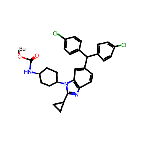 CC(C)(C)OC(=O)N[C@H]1CC[C@@H](n2c(C3CC3)nc3ccc(C(c4ccc(Cl)cc4)c4ccc(Cl)cc4)cc32)CC1